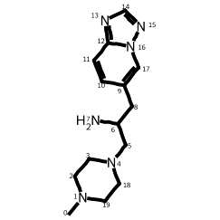 CN1CCN(CC(N)Cc2ccc3ncnn3c2)CC1